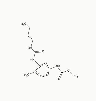 CCCCNC(=O)Nc1cc(NC(=O)OC)ccc1C